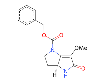 COC1=C2[C@H](CCN2C(=O)OCc2ccccc2)NC1=O